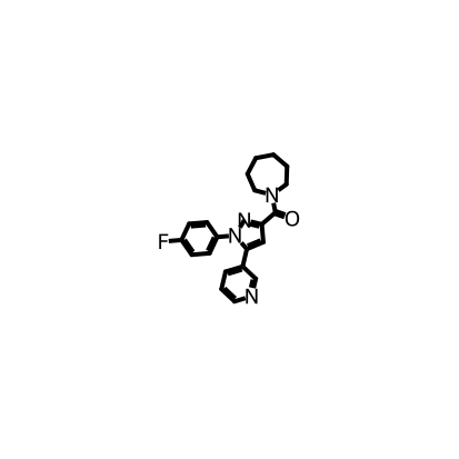 O=C(c1cc(-c2cccnc2)n(-c2ccc(F)cc2)n1)N1CCCCCC1